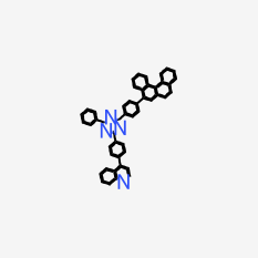 c1ccc(-c2nc(-c3ccc(-c4ccnc5ccccc45)cc3)nc(-c3ccc(-c4cc5ccc6ccccc6c5c5ccccc45)cc3)n2)cc1